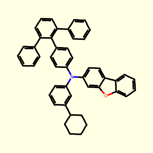 c1ccc(-c2cccc(-c3ccccc3)c2-c2ccc(N(c3cccc(C4CCCCC4)c3)c3ccc4c(c3)oc3ccccc34)cc2)cc1